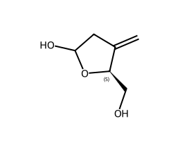 C=C1CC(O)O[C@@H]1CO